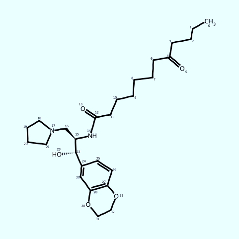 CCCCC(=O)CCCCCCC(=O)N[C@H](CN1CCCC1)[C@@H](O)c1ccc2c(c1)OCCO2